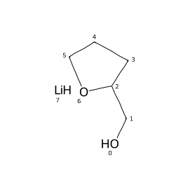 OCC1CCCO1.[LiH]